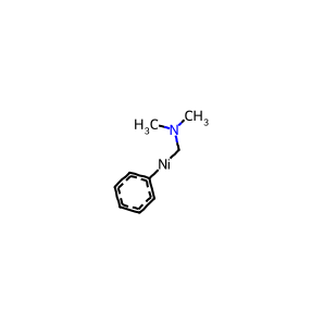 CN(C)[CH2][Ni][c]1ccccc1